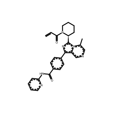 C=CC(=O)N1CCCC[C@H]1c1nc(-c2ccc(C(=O)Nc3ccccn3)cc2)c2cncc(C)n12